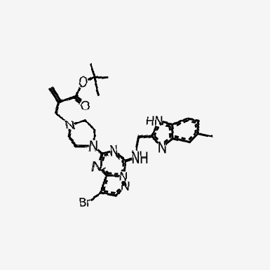 C=C(CN1CCN(c2nc(NCc3nc4cc(C)ccc4[nH]3)n3ncc(Br)c3n2)CC1)C(=O)OC(C)(C)C